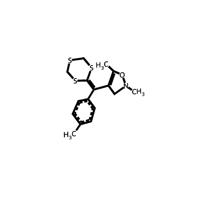 CC1=C(C(=C2SCSCS2)c2ccc(C)cc2)CN(C)O1